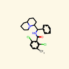 O=C(NC(c1ccccc1)C1CCCC2CCCCN21)c1c(Cl)ccc(C(F)(F)F)c1Cl